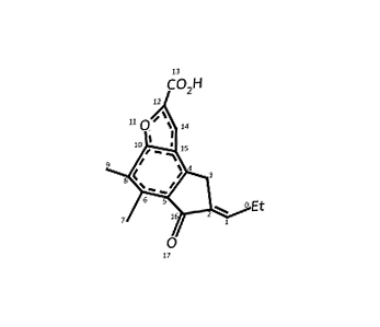 CC/C=C1\Cc2c(c(C)c(C)c3oc(C(=O)O)cc23)C1=O